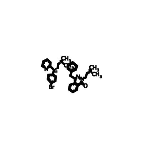 CN(C)CC[C@@H](c1ccc(Br)cc1)c1ccccn1.CN(C)CCn1nc(Cc2ccccc2)c2ccccc2c1=O